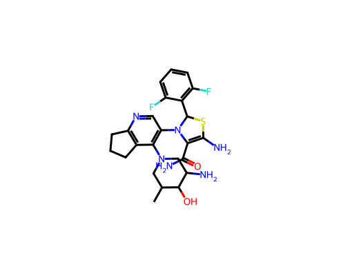 CC1CN(c2c(N3C(C(N)=O)=C(N)SC3c3c(F)cccc3F)cnc3c2CCC3)CC(N)C1O